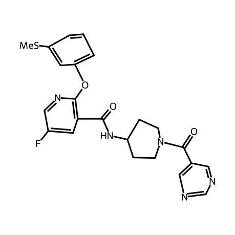 CSc1cccc(Oc2ncc(F)cc2C(=O)NC2CCN(C(=O)c3cncnc3)CC2)c1